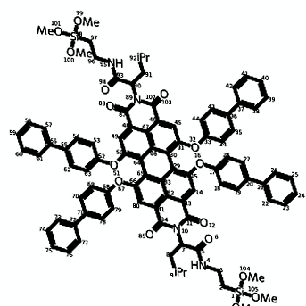 CO[Si](CCNC(=O)C(CC(C)C)N1C(=O)c2cc(Oc3ccc(-c4ccccc4)cc3)c3c4c(Oc5ccc(-c6ccccc6)cc5)cc5c6c(cc(Oc7ccc(-c8ccccc8)cc7)c(c7c(Oc8ccc(-c9ccccc9)cc8)cc(c2c37)C1=O)c64)C(=O)N(C(CC(C)C)C(=O)NCC[Si](OC)(OC)OC)C5=O)(OC)OC